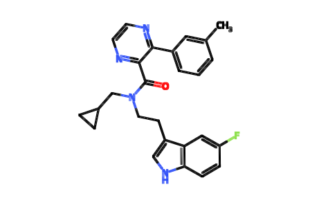 Cc1cccc(-c2nccnc2C(=O)N(CCc2c[nH]c3ccc(F)cc23)CC2CC2)c1